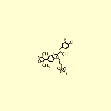 Cc1noc(C)c1-c1ccc2c(c1)nc(C(C)Cc1ccc(Cl)c(F)c1)n2CCCS(C)(=O)=O